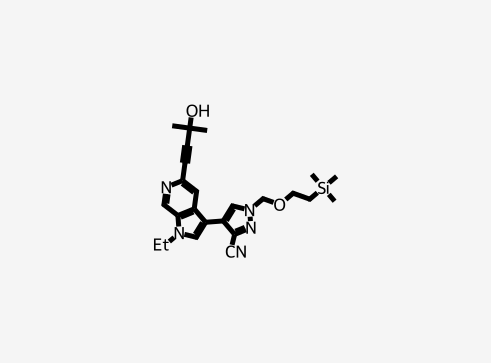 CCn1cc(-c2cn(COCC[Si](C)(C)C)nc2C#N)c2cc(C#CC(C)(C)O)ncc21